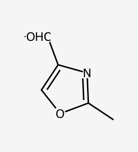 Cc1nc([C]=O)co1